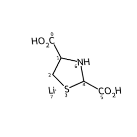 O=C(O)C1CSC(C(=O)O)N1.[Li]